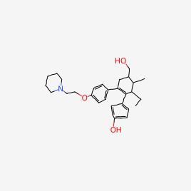 CCC1C(c2ccc(O)cc2)=C(c2ccc(OCCN3CCCCC3)cc2)CC(CO)C1C